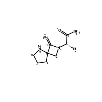 CC[C@@H](C(N)=O)N1CC2(CCCN2)C1=N